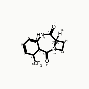 O=C1NC2=CC=CC(C(F)(F)F)C2C(=O)N2CC[C@@H]12